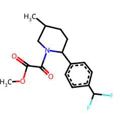 COC(=O)C(=O)N1CC(C)CCC1c1ccc(C(F)F)cc1